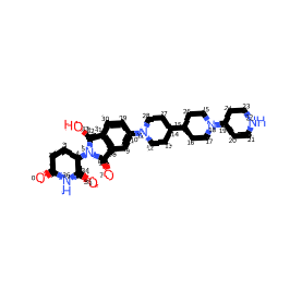 O=C1CCC(N2C(=O)c3cc(N4CCC(C5CCN(C6CCNCC6)CC5)CC4)ccc3C2O)C(=O)N1